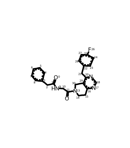 O=C(Cc1ccccc1)NCC(=O)N1CCc2ncnc(Cc3ccc(F)cc3)c2C1